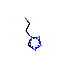 ICCn1cnnn1